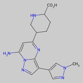 Cn1cc(-c2cnn3c(N)cc(C4CCC(C(=O)O)NC4)nc23)cn1